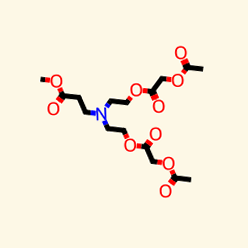 COC(=O)CCN(CCOC(=O)COC(C)=O)CCOC(=O)COC(C)=O